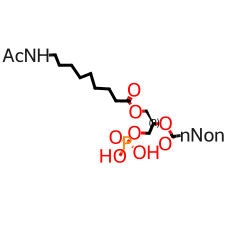 CCCCCCCCCC(=O)O[C@H](COC(=O)CCCCCCCCNC(C)=O)COP(=O)(O)O